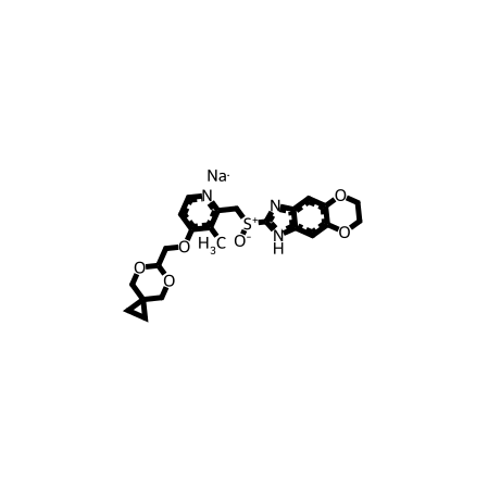 Cc1c(OCC2OCC3(CC3)CO2)ccnc1C[S+]([O-])c1nc2cc3c(cc2[nH]1)OCCO3.[Na]